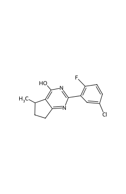 CC1CCc2nc(-c3cc(Cl)ccc3F)nc(O)c21